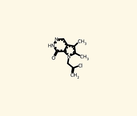 C=C(Cl)Cn1c(C)c(C)c2cn[nH]c(=O)c21